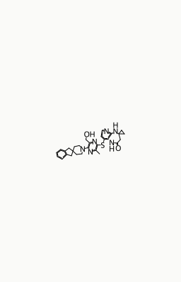 Cc1nc(N2CCC3(CC2)Cc2ccccc2C3)c(CO)nc1Sc1ccnc2c1NC(=O)CC1(CC1)N2